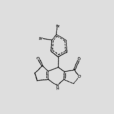 O=C1CCC2=C1C(c1ccc(Br)c(Br)c1)C1=C(COC1=O)N2